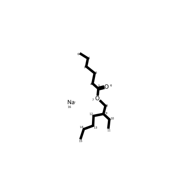 CCCCCC(=O)OCC(CC)CCCC.[Na]